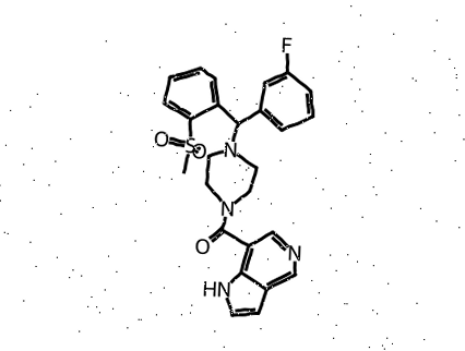 CS(=O)(=O)c1ccccc1C(c1cccc(F)c1)N1CCN(C(=O)c2cncc3cc[nH]c23)CC1